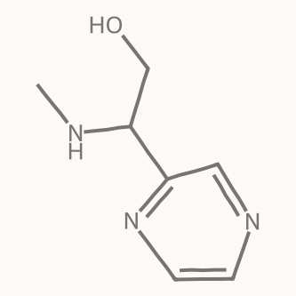 CNC(CO)c1cnccn1